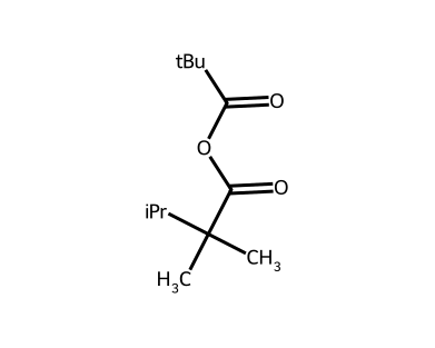 CC(C)C(C)(C)C(=O)OC(=O)C(C)(C)C